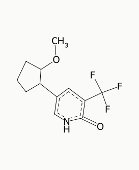 COC1CCCC1c1c[nH]c(=O)c(C(F)(F)F)c1